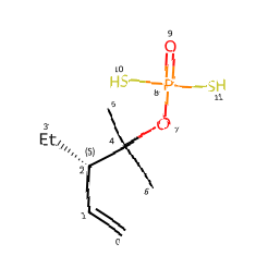 C=C[C@H](CC)C(C)(C)OP(=O)(S)S